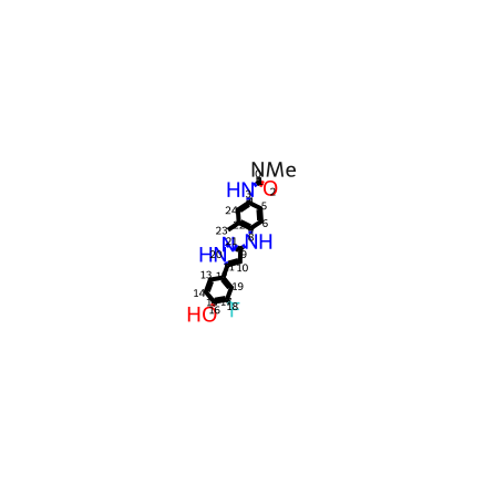 CNC(=O)Nc1ccc(Nc2cc(-c3ccc(O)c(F)c3)[nH]n2)c(C)c1